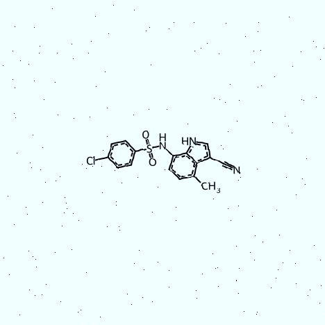 Cc1ccc(NS(=O)(=O)c2ccc(Cl)cc2)c2[nH]cc(C#N)c12